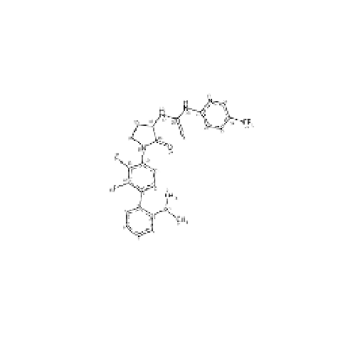 CP(C)c1ccccc1-c1ccc(N2CCC(NC(=O)Nc3ccc(C(F)(F)F)cn3)C2=O)c(F)c1F